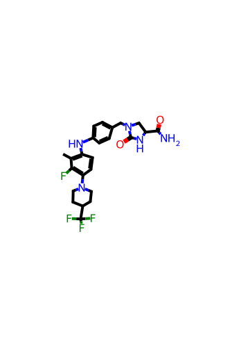 Cc1c(Nc2ccc(CN3CC(C(N)=O)NC3=O)cc2)ccc(N2CCC(C(F)(F)F)CC2)c1F